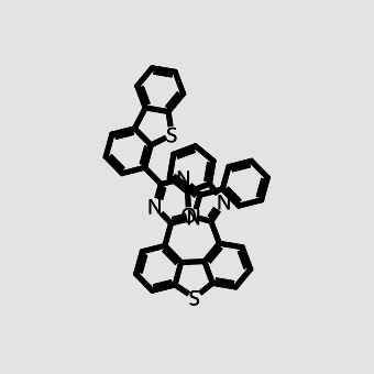 c1ccc(-c2nc(-c3cccc4c3sc3ccccc34)nc(-c3cccc4sc5cccc(-c6nc7ccccc7o6)c5c34)n2)cc1